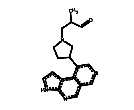 CC(C=O)CN1CCC(c2cncc3cnc4[nH]ccc4c23)C1